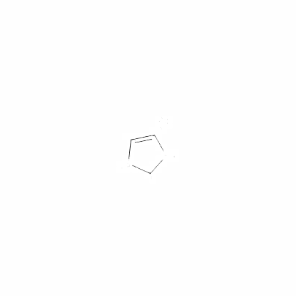 C1=CSCS1.[Pd]